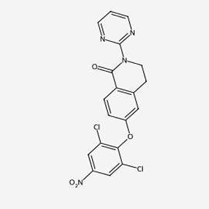 O=C1c2ccc(Oc3c(Cl)cc([N+](=O)[O-])cc3Cl)cc2CCN1c1ncccn1